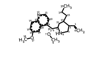 C=CC1CNC([C@H](OC)c2ccnc3ccc(OC)cc23)CC1CCC